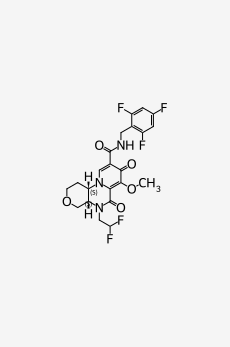 COc1c2n(cc(C(=O)NCc3c(F)cc(F)cc3F)c1=O)[C@H]1CCOC[C@H]1N(CC(F)F)C2=O